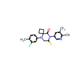 Cc1ccc(N2CC(=S)N(c3cnc(C#N)c(C(F)(F)F)c3)C(=O)C23CCC3)cc1F